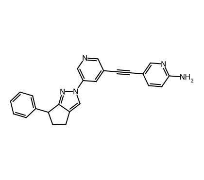 Nc1ccc(C#Cc2cncc(-n3cc4c(n3)C(c3ccccc3)CC4)c2)cn1